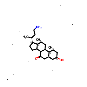 CC(CCN)[C@H]1CCC2C3C(=O)CC4C[C@H](O)CC[C@]4(C)C3CC[C@@]21C